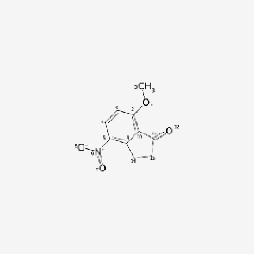 COc1ccc([N+](=O)[O-])c2c1C(=O)CC2